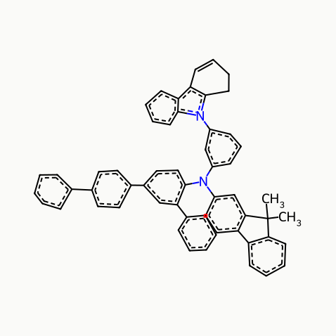 CC1(C)c2ccccc2-c2ccc(N(c3cccc(-n4c5c(c6ccccc64)C=CCC5)c3)c3ccc(-c4ccc(-c5ccccc5)cc4)cc3-c3ccccc3)cc21